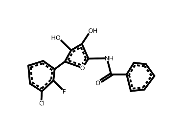 O=C(Nc1oc(-c2cccc(Cl)c2F)c(O)c1O)c1ccccc1